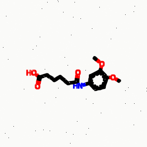 COc1ccc(NC(=O)CCCCC(=O)O)cc1OC